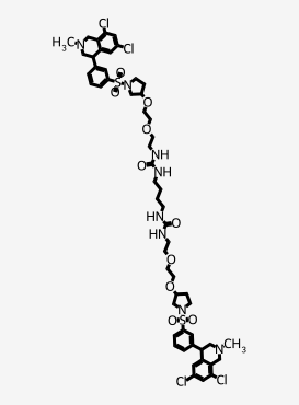 CN1Cc2c(Cl)cc(Cl)cc2C(c2cccc(S(=O)(=O)N3CCC(OCCOCCNC(=O)NCCCCNC(=O)NCCOCCOC4CCN(S(=O)(=O)c5cccc(C6CN(C)Cc7c(Cl)cc(Cl)cc76)c5)C4)C3)c2)C1